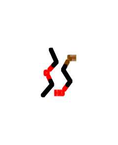 CCOCC.OCCS